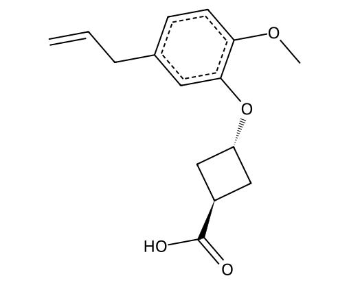 C=CCc1ccc(OC)c(O[C@H]2C[C@H](C(=O)O)C2)c1